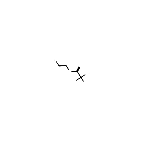 CCC(C)(C)C(=O)OCCBr